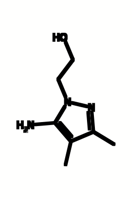 Cc1nn(CCO)c(N)c1C